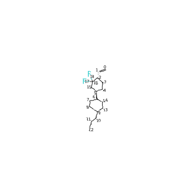 C=C[C@@H]1CC[C@@H](C2CCC(CCC)CC2)CC1(F)F